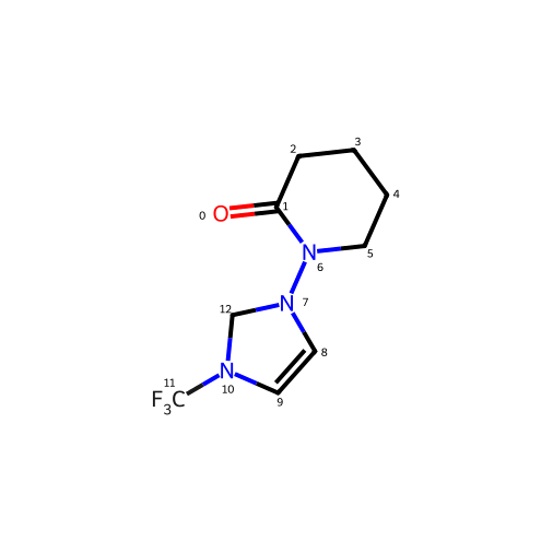 O=C1CCCCN1N1C=CN(C(F)(F)F)C1